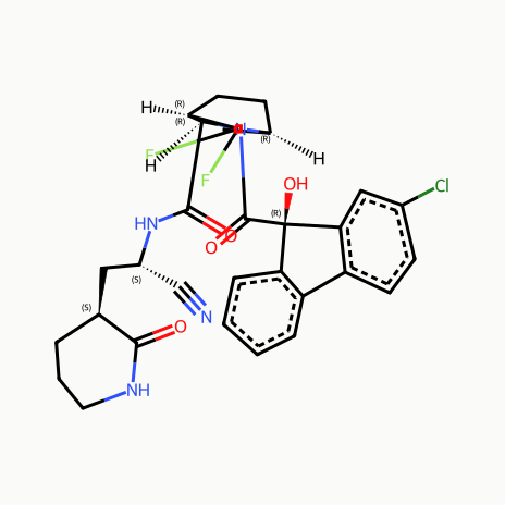 N#C[C@H](C[C@@H]1CCCNC1=O)NC(=O)[C@H]1[C@H]2CC[C@H](CC2(F)F)N1C(=O)[C@@]1(O)c2ccccc2-c2ccc(Cl)cc21